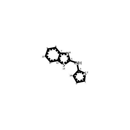 c1csc(Nc2nc3ccccc3s2)c1